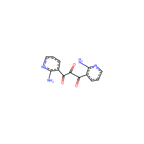 Nc1ncccc1C(=O)C(=O)C(=O)c1cccnc1N